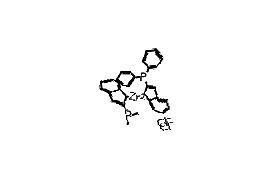 CP(C)C1=Cc2ccccc2[CH]1[Zr+2][CH]1C(P(c2ccccc2)c2ccccc2)=Cc2ccccc21.[Cl-].[Cl-]